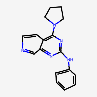 c1ccc(Nc2nc(N3CCCC3)c3ccncc3n2)cc1